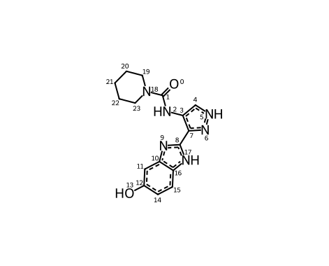 O=C(Nc1c[nH]nc1-c1nc2cc(O)ccc2[nH]1)N1CCCCC1